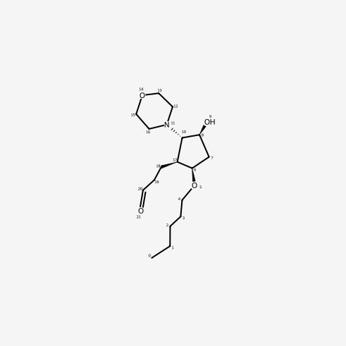 CCCCCO[C@@H]1C[C@H](O)[C@@H](N2CCOCC2)[C@@H]1CCC=O